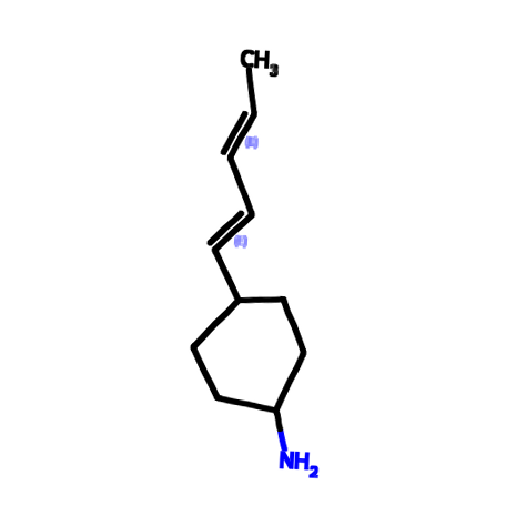 C/C=C/C=C/C1CCC(N)CC1